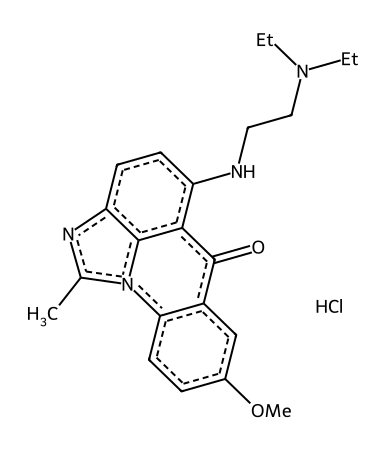 CCN(CC)CCNc1ccc2nc(C)n3c4ccc(OC)cc4c(=O)c1c23.Cl